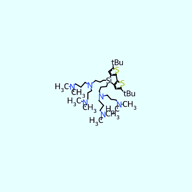 CN(C)CCCN(CCCN(C)C)CCC[Si]1(CCCN(CCCN(C)C)CCCN(C)C)c2cc(C(C)(C)C)sc2-c2sc(C(C)(C)C)cc21